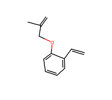 C=Cc1ccccc1OCC(=C)C